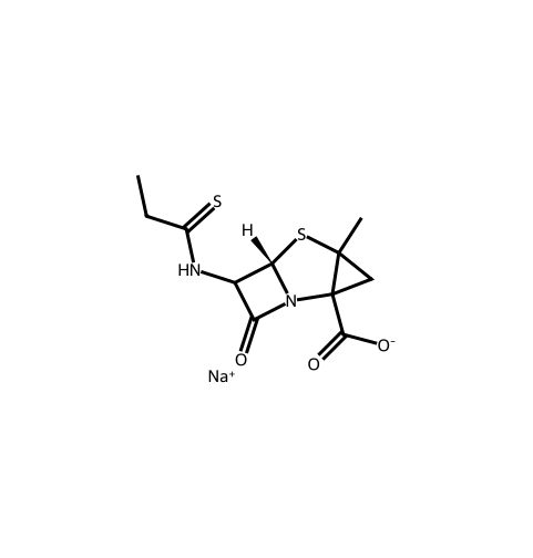 CCC(=S)NC1C(=O)N2[C@H]1SC1(C)CC21C(=O)[O-].[Na+]